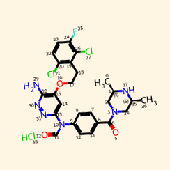 C[C@@H]1CN(C(=O)c2ccc(N(C=O)c3cc(OCCc4c(Cl)ccc(F)c4Cl)c(N)nn3)cc2)C[C@H](C)N1.Cl